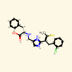 CC(S)=C(Cc1ccccc1Cl)c1ncc(CN[C@@H](Cc2ccccc2)C(=O)O)[nH]1